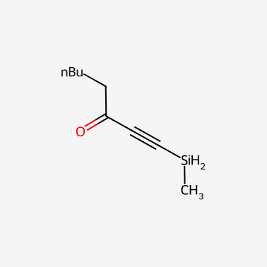 CCCCCC(=O)C#C[SiH2]C